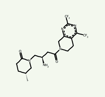 C[C@@H]1CCC(=O)N(C[C@H](N)CC(=O)N2CCc3c(nc(C(F)(F)F)nc3C(F)(F)F)C2)C1